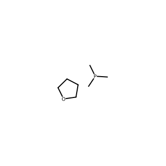 C1CCOC1.CP(C)C